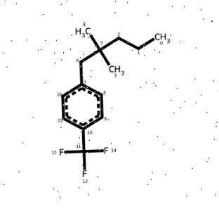 CCCC(C)(C)Cc1ccc(C(F)(F)F)cc1